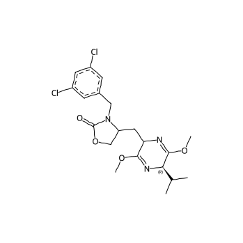 COC1=N[C@H](C(C)C)C(OC)=NC1CC1COC(=O)N1Cc1cc(Cl)cc(Cl)c1